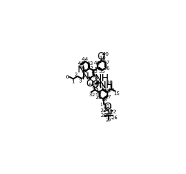 CCCCn1c(=O)c(NC(=O)Nc2c(C(C)C)cc(CO[Si](C)(C)C(C)(C)C)cc2C(C)C)c(-c2cccc(OC)c2)c2cccnc21